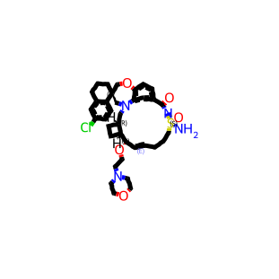 N[S@]1(=O)=NC(=O)c2ccc3c(c2)N(C[C@@H]2CC[C@H]2[C@@H](OCCN2CCOCC2)/C=C/CCC1)C[C@@]1(CCCc2cc(Cl)ccc21)CO3